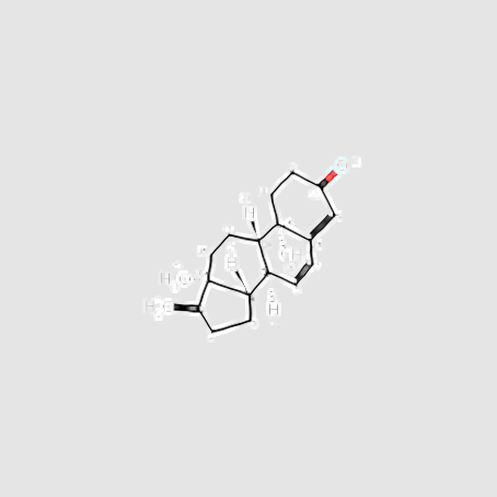 C=C1CC[C@H]2[C@@H]3C=CC4=CC(=O)CC[C@]4(C)[C@H]3CC[C@]12C